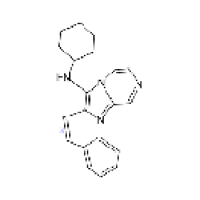 C(=C/c1nc2cnccn2c1NC1CCCCC1)/c1ccccc1